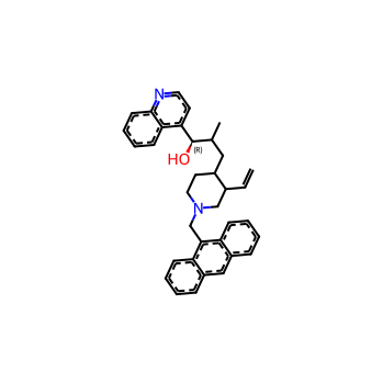 C=CC1CN(Cc2c3ccccc3cc3ccccc23)CCC1CC(C)[C@@H](O)c1ccnc2ccccc12